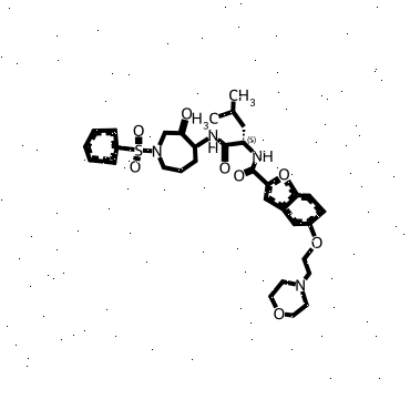 CC(C)C[C@H](NC(=O)c1cc2cc(OCCN3CCOCC3)ccc2o1)C(=O)NC1CCCN(S(=O)(=O)c2ccccc2)CC1=O